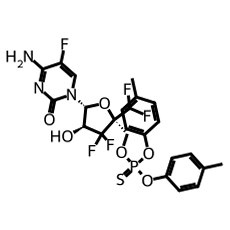 Cc1ccc(OP(=S)(OC[C@@]2(C(F)F)O[C@@H](n3cc(F)c(N)nc3=O)[C@H](O)C2(F)F)Oc2ccc(C)cc2)cc1